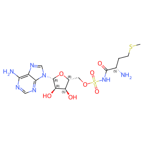 CSCC[C@H](N)C(=O)NS(=O)(=O)OC[C@H]1O[C@@H](n2cnc3c(N)ncnc32)[C@H](O)[C@@H]1O